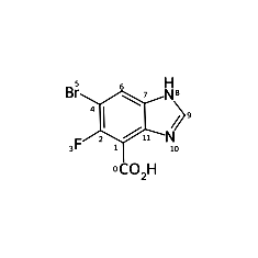 O=C(O)c1c(F)c(Br)cc2[nH]cnc12